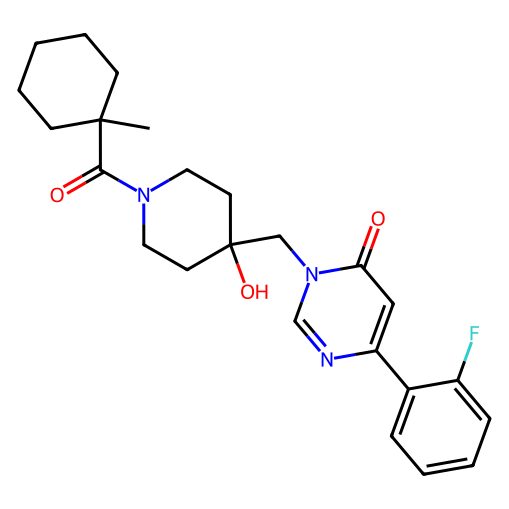 CC1(C(=O)N2CCC(O)(Cn3cnc(-c4ccccc4F)cc3=O)CC2)CCCCC1